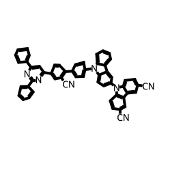 N#Cc1ccc2c(c1)c1cc(C#N)ccc1n2-c1ccc2c(c1)c1ccccc1n2-c1ccc(-c2ccc(-c3cc(-c4ccccc4)nc(-c4ccccc4)n3)cc2C#N)cc1